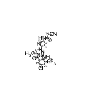 CC(CN(N=CN)c1ccc(NC(=O)CC#N)cn1)NC(=O)c1cc(Cl)cc(C(F)(F)F)c1